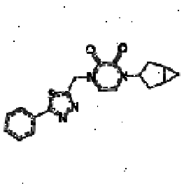 O=c1c(=O)n(C2CC3CC3C2)ccn1Cc1nnc(-c2ccccc2)s1